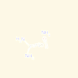 C=O.N.NC(N)=[Se]